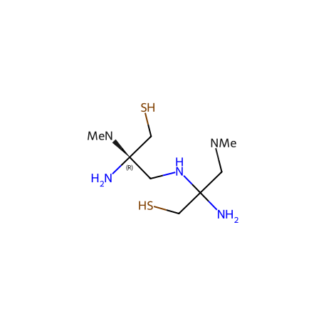 CNCC(N)(CS)NC[C@](N)(CS)NC